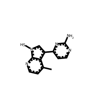 Cc1ccnc2c1c(-c1ccnc(N)n1)cn2S